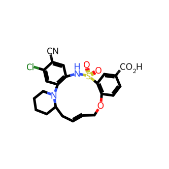 N#Cc1cc2c(cc1Cl)N1CCCCC1C/C=C/COc1ccc(C(=O)O)cc1S(=O)(=O)N2